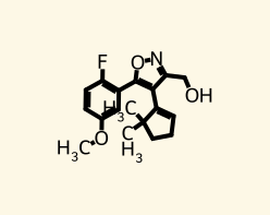 COc1ccc(F)c(-c2onc(CO)c2C2=CCCC2(C)C)c1